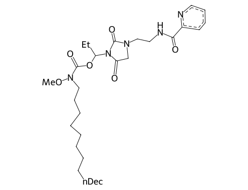 CCCCCCCCCCCCCCCCCCN(OC)C(=O)OC(CC)N1C(=O)CN(CCNC(=O)c2ccccn2)C1=O